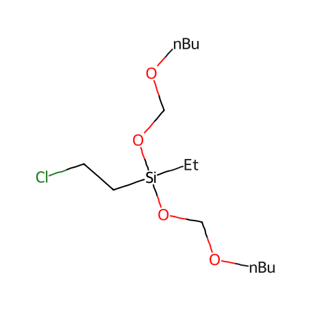 CCCCOCO[Si](CC)(CCCl)OCOCCCC